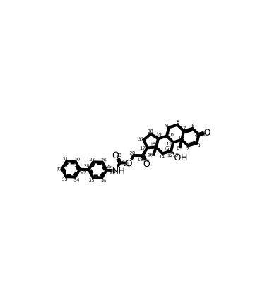 CC12C=CC(=O)C=C1CCC1C2[C@@H](O)CC2(C)C(C(=O)COC(=O)Nc3ccc(-c4ccccc4)cc3)CCC12